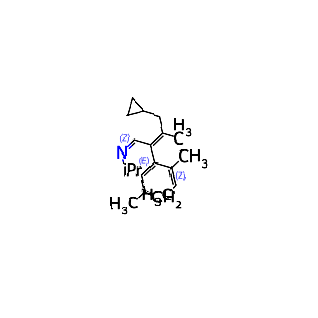 C=C(C)/C=C(C(/C=N\C(C)C)=C(C)CC1CC1)\C(C)=C/C